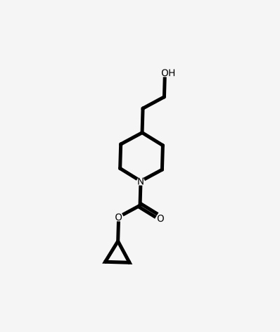 O=C(OC1CC1)N1CCC(CCO)CC1